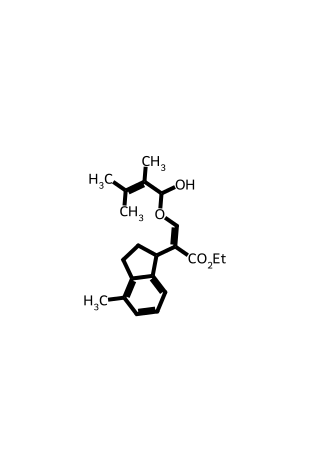 CCOC(=O)/C(=C/OC(O)C(C)=C(C)C)C1CCc2c(C)cccc21